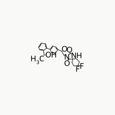 CC(O)c1ccccc1-c1ccc(C(=O)CN2C(=O)NC3(CCC(F)(F)CC3)C2=O)cc1